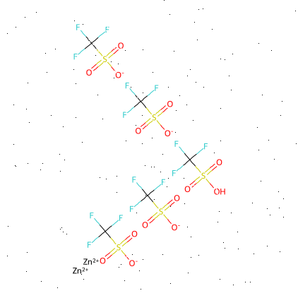 O=S(=O)(O)C(F)(F)F.O=S(=O)([O-])C(F)(F)F.O=S(=O)([O-])C(F)(F)F.O=S(=O)([O-])C(F)(F)F.O=S(=O)([O-])C(F)(F)F.[Zn+2].[Zn+2]